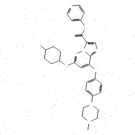 CN1CCN(c2ccc(Nc3cc(NC4CCC(N)CC4)nn4c(C(=O)Nc5ccncc5)cnc34)cc2)CC1